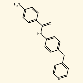 Nc1ccc(C(=O)Nc2ccc(Sc3ccncc3)cc2)cc1